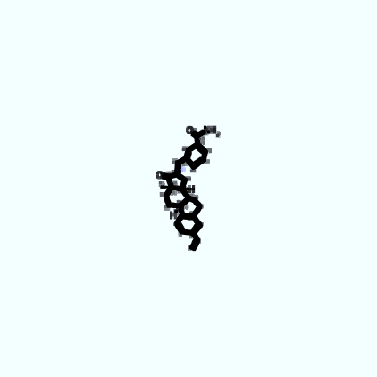 C=Cc1ccc2c(c1)CCC1[C@@H]2CC[C@]2(C)C(=O)/C(=C/c3cccc(C(N)=O)c3)C[C@@H]12